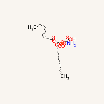 CC/C=C\C/C=C\C/C=C\C/C=C\CCCCC(=O)OC[C@H](COP(=O)(O)OC[C@H](N)C(=O)O)OC(=O)CCCCCCCCCCCCCCCC